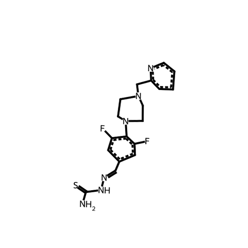 NC(=S)N/N=C/c1cc(F)c(N2CCN(Cc3ccccn3)CC2)c(F)c1